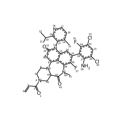 C=CC(=O)N1CCN2c3nc(=O)n(-c4c(C)ccnc4C(C)C)c4cc(-c5c(N)c(Cl)cc(Cl)c5F)c(F)c(c34)N(C)C(=O)C2C1